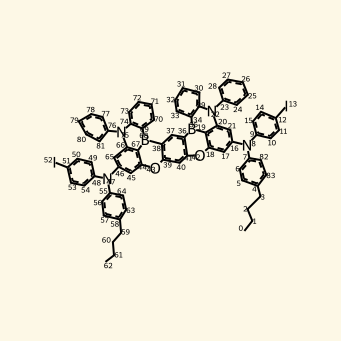 CCCCc1ccc(N(c2ccc(I)cc2)c2cc3c4c(c2)N(c2ccccc2)c2ccccc2B4c2cc4c(cc2O3)Oc2cc(N(c3ccc(I)cc3)c3ccc(CCCC)cc3)cc3c2B4c2ccccc2N3c2ccccc2)cc1